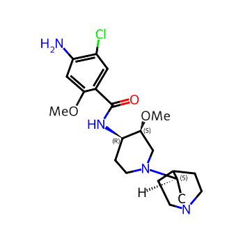 COc1cc(N)c(Cl)cc1C(=O)N[C@@H]1CCN([C@@H]2CN3CCC2CC3)C[C@@H]1OC